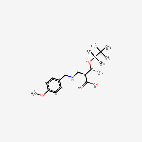 COc1ccc(CNC[C@H](C(=O)O)[C@@H](C)O[Si](C)(C)C(C)(C)C)cc1